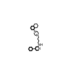 c1ccc(-c2ccnc(NCCCCN3CCN(c4cccc5c4CCCC5)CC3)c2)cc1